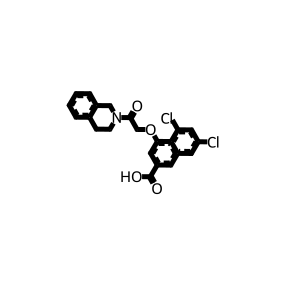 O=C(O)c1cc(OCC(=O)N2CCc3ccccc3C2)c2c(Cl)cc(Cl)cc2c1